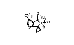 [2H]C([2H])([2H])N1C(=O)c2c(C)csc2C12CC2